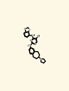 Clc1cnc(Nc2ccc3c(c2)CCC(N2CCCC2)CC3)nc1Nc1cccc2c1OCO2